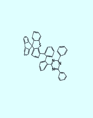 c1ccc(-c2nc(-c3ccccc3)nc(-c3ccccc3-c3ccccc3-c3cccc4c3Sc3ccccc3C43c4ccccc4-c4ccccc43)n2)cc1